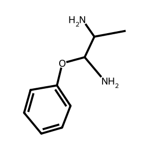 CC(N)C(N)Oc1ccccc1